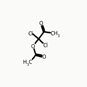 CC(=O)OC(Cl)(Cl)C(C)=O